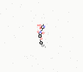 CC1=NC=C(CCN2C(=O)c3ccc(OCc4ccc(C(F)(F)F)cc4)cc3C2=O)C(=O)C1O